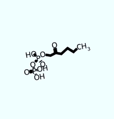 CCCCC(=O)COP(=O)(O)OP(=O)(O)O